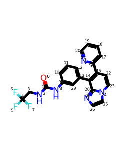 O=C(NCC(F)(F)F)Nc1cccc(-c2c(-c3ccccn3)ccn3ccnc23)c1